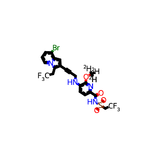 [2H]C([2H])([2H])Oc1nc(C(=O)NS(=O)(=O)CC(F)(F)F)ccc1NCC#Cc1cc2c(Br)cccn2c1CC(F)(F)F